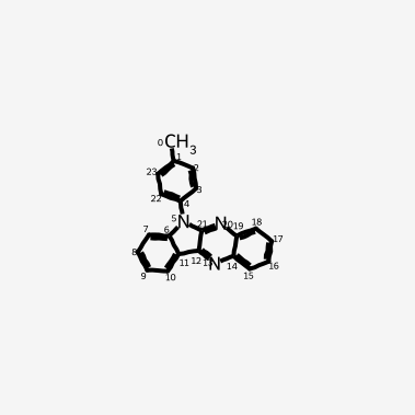 Cc1ccc(-n2c3ccccc3c3nc4ccccc4nc32)cc1